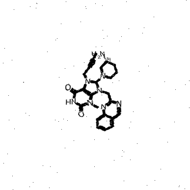 CC#CCN1c2c(n(C)c(=O)[nH]c2=O)N(Cc2ncc3ccccc3n2)C1N1CCC[C@@H](N)C1